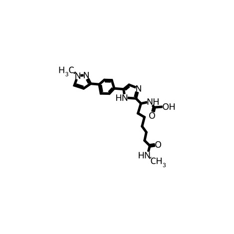 CNC(=O)CCCCCC(NC(=O)O)c1ncc(-c2ccc(-c3ccn(C)n3)cc2)[nH]1